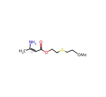 COCCSCCOC(=O)/C=C(/C)N